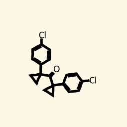 O=C(C1(c2ccc(Cl)cc2)CC1)C1(c2ccc(Cl)cc2)CC1